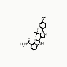 COc1ccc(-n2ncc(-c3nc4c(C(N)=O)cccc4[nH]3)c2C(F)(F)F)cc1